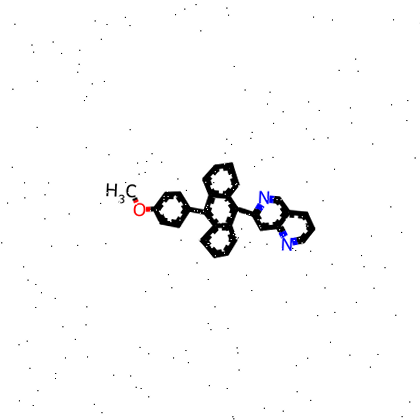 COc1ccc(-c2c3ccccc3c(-c3cc4ncccc4cn3)c3ccccc23)cc1